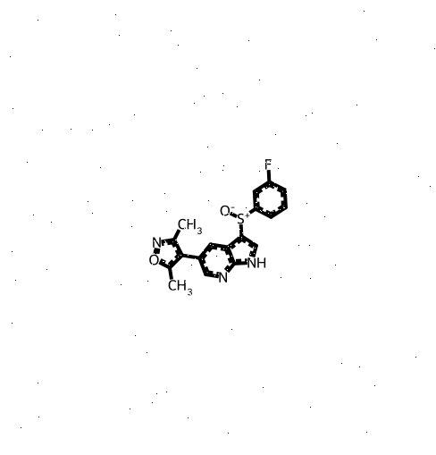 Cc1noc(C)c1-c1cnc2[nH]cc([S+]([O-])c3cccc(F)c3)c2c1